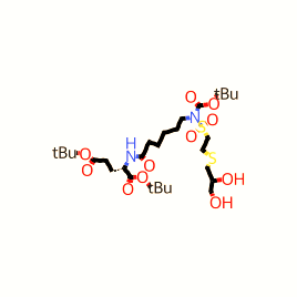 CC(C)(C)OC(=O)CC[C@H](NC(=O)CCCCCN(C(=O)OC(C)(C)C)S(=O)(=O)CCSCC(O)CO)C(=O)OC(C)(C)C